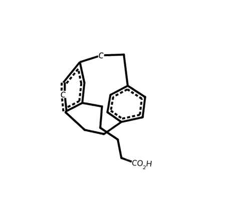 O=C(O)CCCCc1cc2ccc1CCc1ccc(cc1)CC2